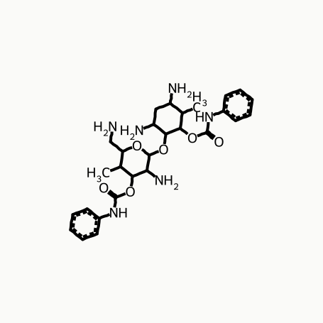 CC1C(CN)OC(OC2C(N)CC(N)C(C)C2OC(=O)Nc2ccccc2)C(N)C1OC(=O)Nc1ccccc1